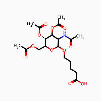 CC(=O)NC1C(OCCCCC(=O)O)OC(COC(C)=O)[C@H](OC(C)=O)C1OC(C)=O